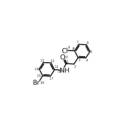 O=C(Cc1ccccc1Cl)Nc1cccc(Br)c1